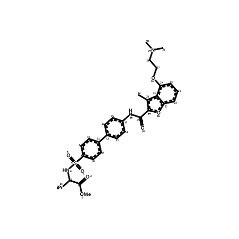 COC(=O)C(NS(=O)(=O)c1ccc(-c2ccc(NC(=O)c3oc4cccc(OCCN(C)C)c4c3C)cc2)cc1)C(C)C